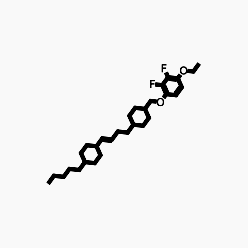 CCCCCC1CCC(/C=C/CCC2CCC(COc3ccc(OCC)c(F)c3F)CC2)CC1